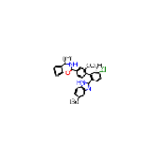 CCC[C@@H](NC(=O)c1ccc(-c2cc(Cl)ccc2-c2nc3cc(C(C)(C)C)ccc3[nH]2)c(C(=O)O)c1)c1ccccc1